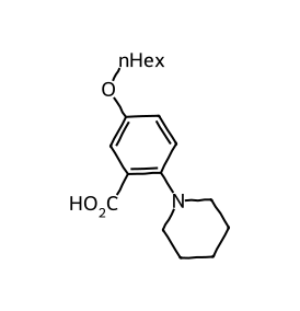 CCCCCCOc1ccc(N2CCCCC2)c(C(=O)O)c1